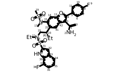 C=C(N)c1c(-c2ccc(F)cc2)oc2cc(N(C)S(C)(=O)=O)c([C@@H](CC)CN(CC)S(=O)(=O)c3cc4cccc(F)c4[nH]3)cc12